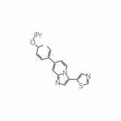 C/C=C(\C=C/C(C)OC(C)C)c1ccn2c(-c3cncs3)cnc2c1